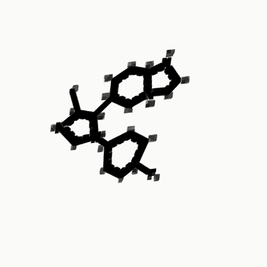 Cc1ncn(-c2ccc(F)cc2)c1-c1ccc2nccn2c1